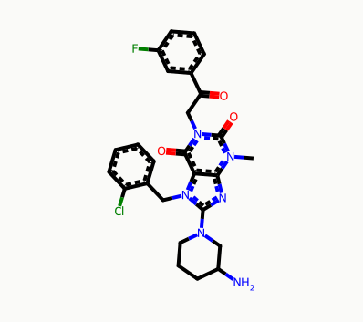 Cn1c(=O)n(CC(=O)c2cccc(F)c2)c(=O)c2c1nc(N1CCCC(N)C1)n2Cc1ccccc1Cl